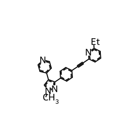 CCc1cccc(C#Cc2ccc(-c3nn(C)cc3-c3ccncc3)cc2)n1